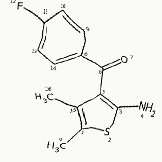 Cc1sc(N)c(C(=O)c2ccc(F)cc2)c1C